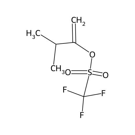 C=C(OS(=O)(=O)C(F)(F)F)C(C)C